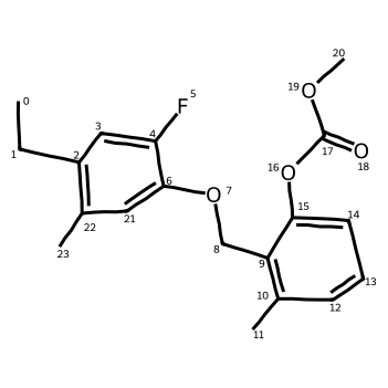 CCc1cc(F)c(OCc2c(C)cccc2OC(=O)OC)cc1C